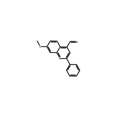 COc1ccc2c(C=O)cc(-c3ccccc3)nc2c1